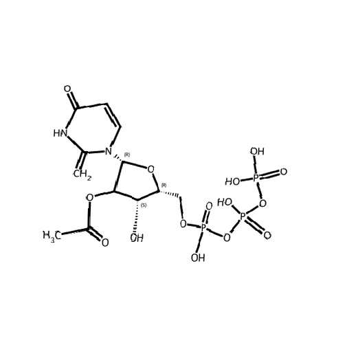 C=C1NC(=O)C=CN1[C@@H]1O[C@H](COP(=O)(O)OP(=O)(O)OP(=O)(O)O)[C@H](O)C1OC(C)=O